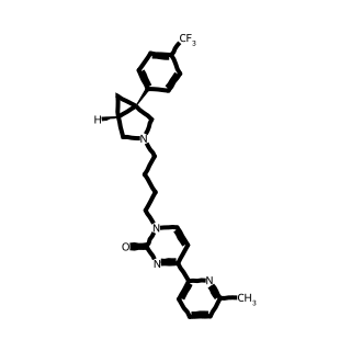 Cc1cccc(-c2ccn(CCCCN3C[C@@H]4C[C@]4(c4ccc(C(F)(F)F)cc4)C3)c(=O)n2)n1